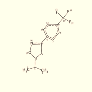 CC(C)C1CC(c2ccc(C(F)(F)F)cc2)=NO1